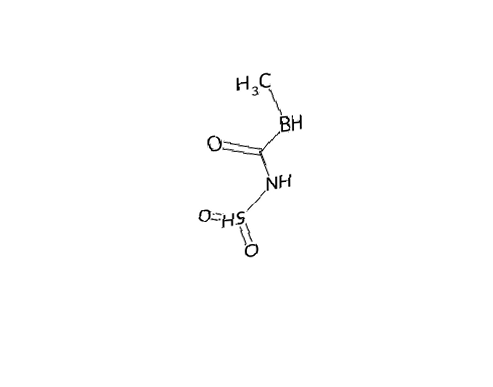 CBC(=O)N[SH](=O)=O